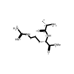 COC(=O)[C@H](CCCNC(=N)N)NC(=O)[C@H](C)N